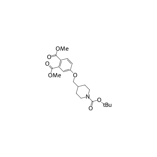 COC(=O)c1ccc(OCC2CCN(C(=O)OC(C)(C)C)CC2)cc1C(=O)OC